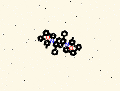 Cc1cccc(N(c2cc(C3CCCCC3)c3ccc4c(N(c5cccc(C)c5)c5cccc6c5oc5c(-c7ccccc7C)cccc56)cc(C5CCCCC5)c5ccc2c3c54)c2cccc3c2oc2c(-c4ccccc4C)cccc23)c1